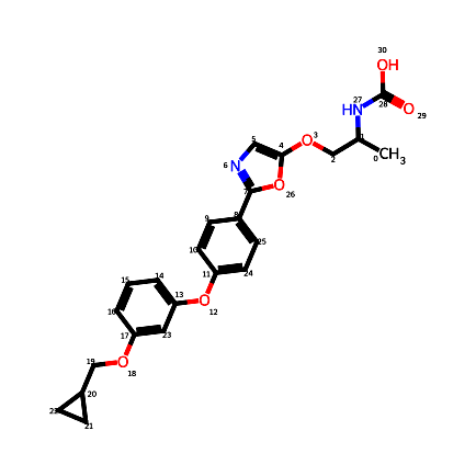 CC(COc1cnc(-c2ccc(Oc3cccc(OCC4CC4)c3)cc2)o1)NC(=O)O